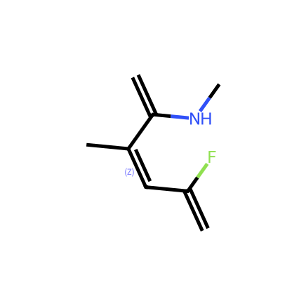 C=C(F)/C=C(/C)C(=C)NC